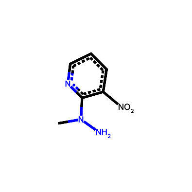 CN(N)c1ncccc1[N+](=O)[O-]